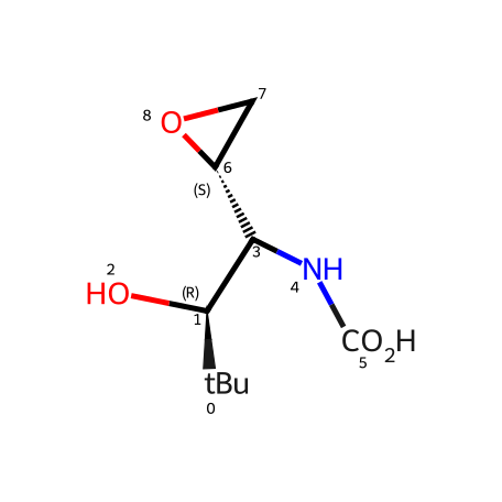 CC(C)(C)[C@@H](O)C(NC(=O)O)[C@H]1CO1